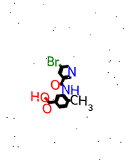 Cc1ccc(C(=O)O)cc1NC(=O)c1cncc(Br)c1